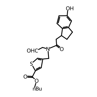 CCCCOC(=O)c1cc(CN(CC=O)C(=O)CC2CCc3cc(O)ccc32)cs1